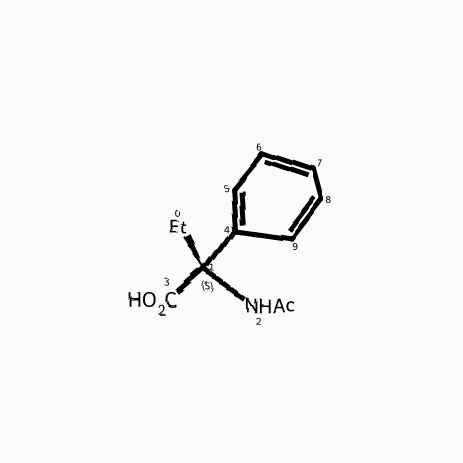 CC[C@@](NC(C)=O)(C(=O)O)c1ccccc1